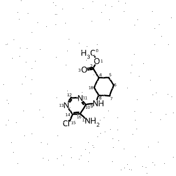 COC(=O)C1CCCC(Nc2ncnc(Cl)c2N)C1